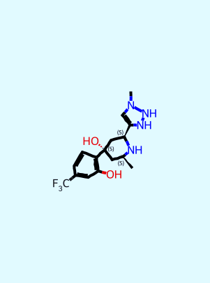 C[C@H]1C[C@@](O)(c2ccc(C(F)(F)F)cc2O)C[C@@H](C2=CN(C)NN2)N1